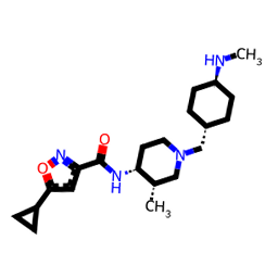 CN[C@H]1CC[C@H](CN2CC[C@@H](NC(=O)c3cc(C4CC4)on3)[C@@H](C)C2)CC1